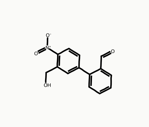 O=Cc1ccccc1-c1ccc([N+](=O)[O-])c(CO)c1